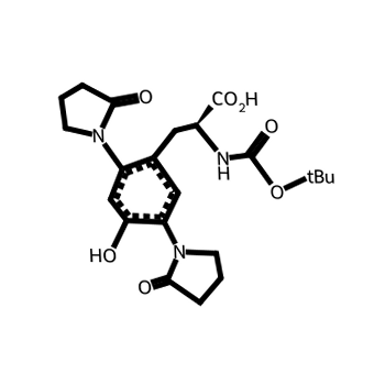 CC(C)(C)OC(=O)N[C@@H](Cc1cc(N2CCCC2=O)c(O)cc1N1CCCC1=O)C(=O)O